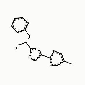 O=C(O)N[C@@H](Cc1ccccc1)c1nc(-c2ccc([N+](=O)[O-])cc2)c[nH]1